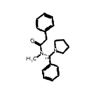 CN(C(=O)Cc1ccccc1)[C@@H](c1ccccc1)N1CCCC1